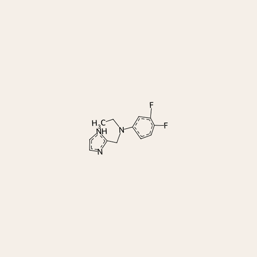 CCN(Cc1ncc[nH]1)c1ccc(F)c(F)c1